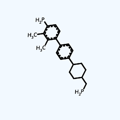 Cc1c(P)ccc(-c2ccc(C3CCC(CP)CC3)cc2)c1C